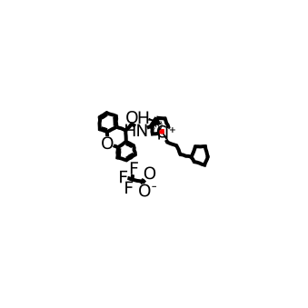 O=C(N[C@H]1C[N+]2(CCCC3CCCCC3)CCC1CC2)C1c2ccccc2Oc2ccccc21.O=C([O-])C(F)(F)F